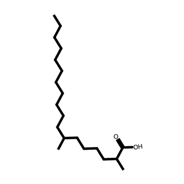 CCCCCCCCCCCC(C)CCCCC(C)C(=O)O